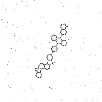 CC1(C)c2cc(-c3ccc(-c4c5ccccc5c(-c5ccc6ccccc6c5)c5ccccc45)cc3)ccc2-c2c1ccc1c2ccc2oc3ccccc3c21